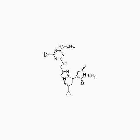 CN1C(=O)CN(c2cc(C3CC3)cn3cc(CNc4nc(NC=O)nc(C5CC5)n4)nc23)C1=O